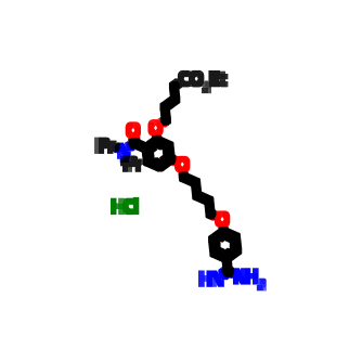 CCOC(=O)CCCCOc1cc(OCCCCCOc2ccc(C(=N)N)cc2)ccc1C(=O)N(C(C)C)C(C)C.Cl